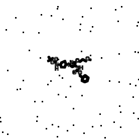 COCCCOc1nn(C2CCC(NC(=O)OC(C)(C)C)CC2)cc1NC(=O)OCc1ccccc1